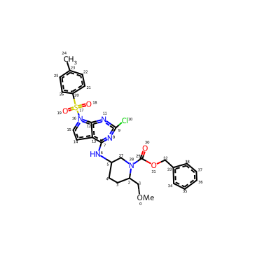 COCC1CCC(Nc2nc(Cl)nc3c2ccn3S(=O)(=O)c2ccc(C)cc2)CN1C(=O)OCc1ccccc1